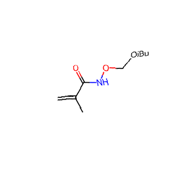 C=C(C)C(=O)NOCOCC(C)C